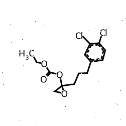 CCOC(=O)OC1(CCCc2ccc(Cl)c(Cl)c2)CO1